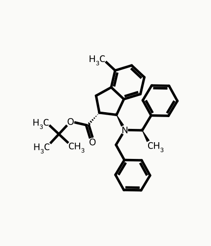 Cc1cccc2c1C[C@@H](C(=O)OC(C)(C)C)[C@@H]2N(Cc1ccccc1)[C@H](C)c1ccccc1